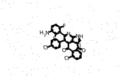 Nc1ccc(F)c(-c2nc3[nH]cc(C=O)c3c(C(=O)c3c(Cl)cccc3Cl)c2-c2ccc(Cl)cc2)c1F